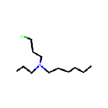 CCCCCCN(CCC)CCCCl